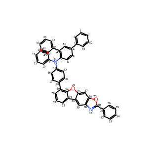 c1ccc(-c2ccc(N(c3ccccc3)c3ccc(-c4cccc5c4oc4cc6oc(-c7ccccc7)nc6cc45)cc3)c(-c3ccccc3)c2)cc1